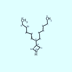 CCCCCCC(CCCCCC)C1CNC1